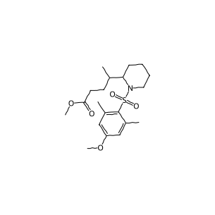 COC(=O)CCC(C)C1CCCCN1S(=O)(=O)c1c(C)cc(OC)cc1C